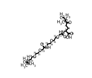 CCC(C)(C)C(=O)CCC(NC(=O)COCCOCCNC(=O)COCCOCCNC(C)(C)C)C(=O)O